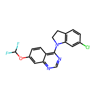 FC(F)Oc1ccc2c(N3CCc4ccc(Cl)cc43)ncnc2c1